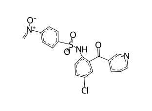 C=[N+]([O-])c1ccc(S(=O)(=O)Nc2ccc(Cl)cc2C(=O)c2cccnc2)cc1